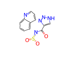 O=C(N=S(=O)=O)c1c[nH]nn1.c1ccc2ncccc2c1